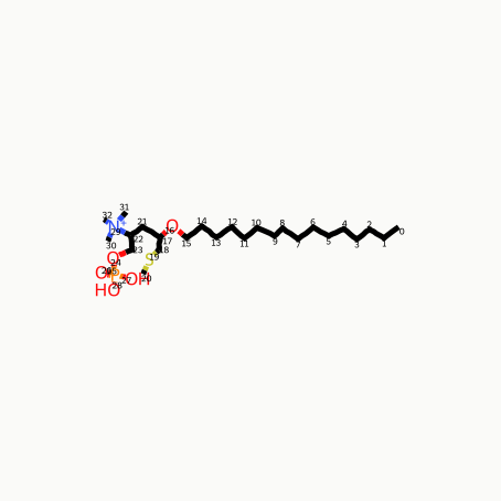 CCCCCCCCCCCCCCCCOC(CSC)CC(COP(=O)(O)O)[N+](C)(C)C